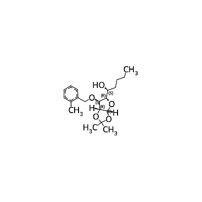 CCCC[C@H](O)[C@H]1O[C@@H]2OC(C)(C)O[C@@H]2[C@H]1OCc1ccccc1C